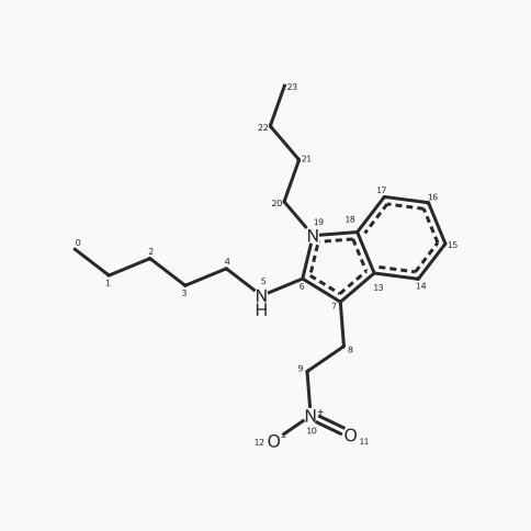 CCCCCNc1c(CC[N+](=O)[O-])c2ccccc2n1CCCC